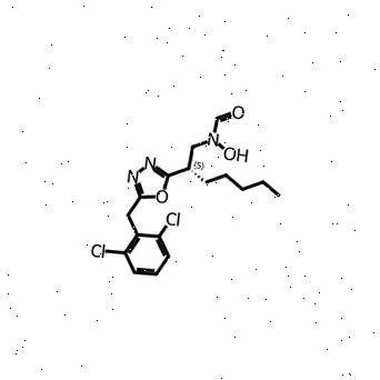 CCCCC[C@@H](CN(O)C=O)c1nnc(Cc2c(Cl)cccc2Cl)o1